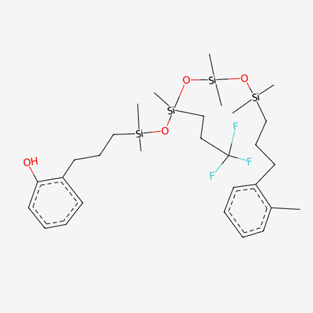 Cc1ccccc1CCC[Si](C)(C)O[Si](C)(C)O[Si](C)(CCC(F)(F)F)O[Si](C)(C)CCCc1ccccc1O